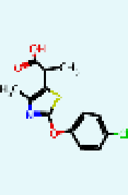 Cc1nc(Oc2ccc(Cl)cc2)sc1C(C)C(=O)O